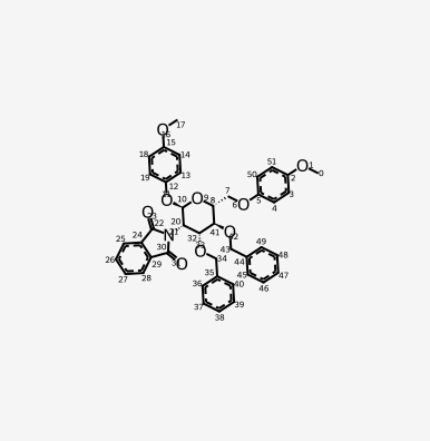 COc1ccc(OC[C@H]2O[C@H](Oc3ccc(OC)cc3)[C@@H](N3C(=O)c4ccccc4C3=O)[C@@H](OCc3ccccc3)[C@@H]2OCc2ccccc2)cc1